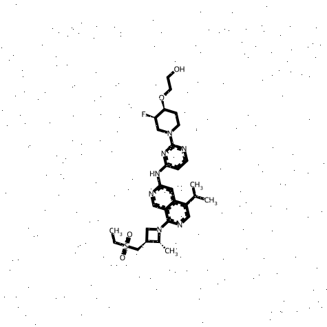 CCS(=O)(=O)C[C@H]1CN(c2ncc(C(C)C)c3cc(Nc4ccnc(N5CC[C@H](OCCO)[C@H](F)C5)n4)ncc23)[C@@H]1C